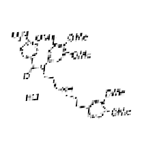 COc1ccc(CCCNCCCN(C(=O)c2ccc([N+](=O)[O-])cc2)c2cc(OC)c(OC)c(OC)c2)cc1OC.Cl